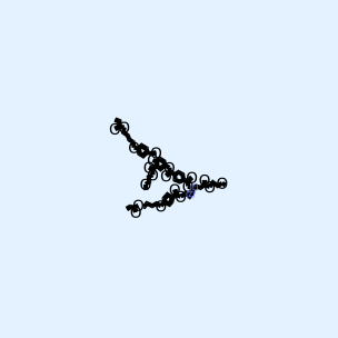 C=CC(=O)OCCCCOc1ccc(C(=O)OC/C=C\C(=C/CC(=O)OCCOC)OC(=O)C2CCC(C(=O)Oc3ccc(OC(=O)c4ccc(OCCCCOC(=O)C=C)cc4)c(C(=O)OCCOC)c3)CC2)cc1